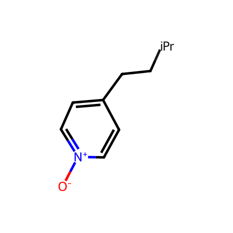 CC(C)CCc1cc[n+]([O-])cc1